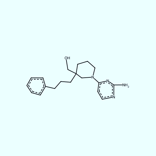 Nc1nccc(N2CCCC(CO)(CCCc3ccccc3)C2)n1